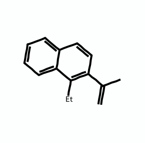 C=C(C)c1ccc2ccccc2c1CC